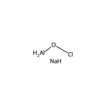 [AlH2][O]Cl.[NaH]